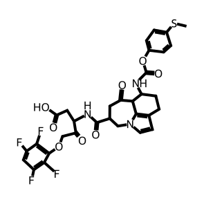 CSc1ccc(OC(=O)NC2CCc3ccn4c3C2C(=O)CC(C(=O)NC(CC(=O)O)C(=O)COc2c(F)c(F)cc(F)c2F)C4)cc1